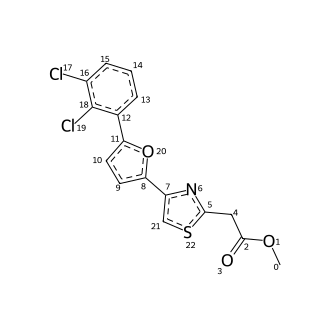 COC(=O)Cc1nc(-c2ccc(-c3cccc(Cl)c3Cl)o2)cs1